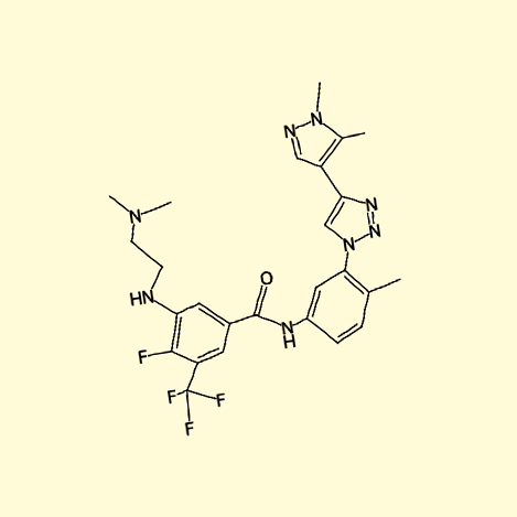 Cc1ccc(NC(=O)c2cc(NCCN(C)C)c(F)c(C(F)(F)F)c2)cc1-n1cc(-c2cnn(C)c2C)nn1